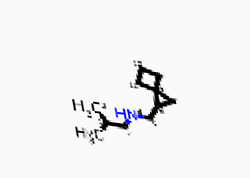 CC(C)CNCC1CC12CCC2